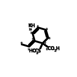 CC=C1C=CC=CC1(C(=O)O)S(=O)(=O)O.[KH]